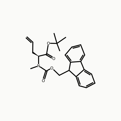 C=CC[C@@H](C(=O)OC(C)(C)C)N(C)C(=O)OCC1c2ccccc2-c2ccccc21